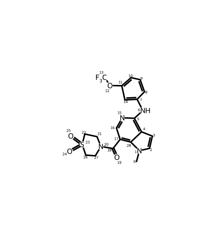 Cn1ccc2c(Nc3cccc(OC(F)(F)F)c3)ncc(C(=O)N3CCS(=O)(=O)CC3)c21